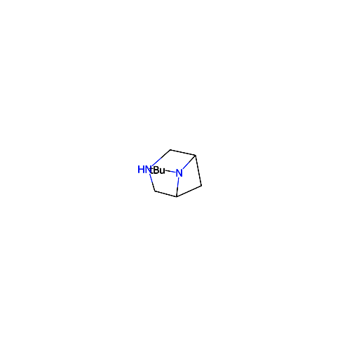 CC(C)(C)N1C2CNCC1C2